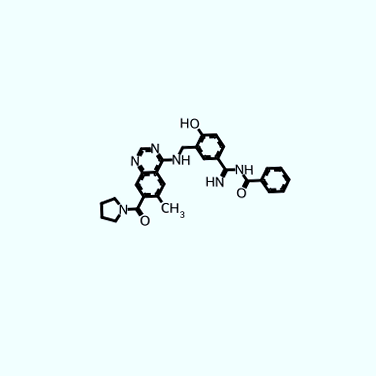 Cc1cc2c(NCc3cc(C(=N)NC(=O)c4ccccc4)ccc3O)ncnc2cc1C(=O)N1CCCC1